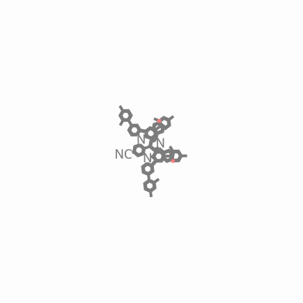 Cc1ccc(-c2ccc3c(c2)c2cc(-c4ccc(C)cc4C)ccc2n3-c2cc(C#N)cc(-n3c4ccc(-c5ccc(C)cc5C)cc4c4cc(-c5ccc(C)cc5C)ccc43)c2-c2cc(-c3ccccc3)nc(-c3ccccc3)c2)c(C)c1